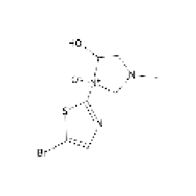 CN1CC(O)[N+]([O-])(c2ncc(Br)s2)C1